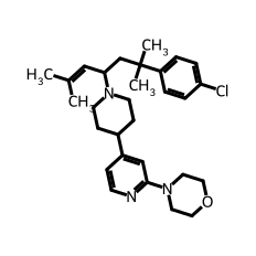 CC(C)=CC(CC(C)(C)c1ccc(Cl)cc1)N1CCC(c2ccnc(N3CCOCC3)c2)CC1